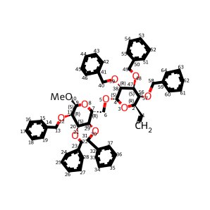 C=C[C@H]1O[C@H](OC[C@H]2O[C@H](OC)[C@H](OCc3ccccc3)[C@@H](OCc3ccccc3)[C@@H]2OCc2ccccc2)[C@H](OCc2ccccc2)[C@@H](OCc2ccccc2)[C@@H]1OCc1ccccc1